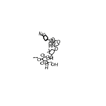 C1COCCN1.CC1(C)CC(=O)CC(=O)C1.CCOC(C(=O)[O-])C(O)C(O)C(O)CO.Cc1ccc(S(=O)O)cc1.[Na+]